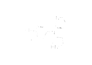 Clc1ccc(N(c2cccnc2)C2CCNC2)cc1Cl